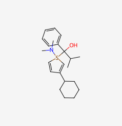 CC(C)C(O)(c1ccccc1)S1(N(C)C)C=CC(C2CCCCC2)=C1